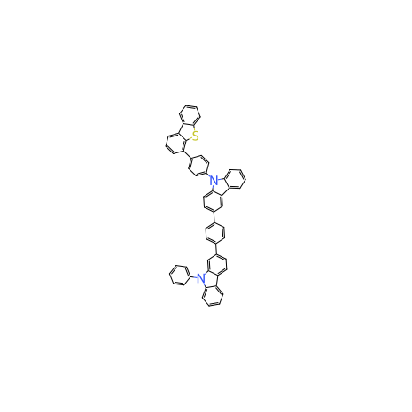 c1ccc(-n2c3ccccc3c3ccc(-c4ccc(-c5ccc6c(c5)c5ccccc5n6-c5ccc(-c6cccc7c6sc6ccccc67)cc5)cc4)cc32)cc1